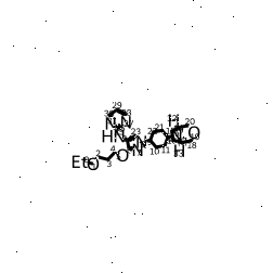 CCOCCCOc1nn(C2CCC(N3[C@@H]4CC[C@H]3COC4)CC2)cc1Nc1ncccn1